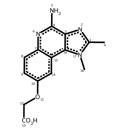 Cc1nc2c(N)nc3ccc(OCC(=O)O)cc3c2n1C